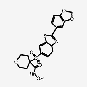 O=C(NO)C1(S(=O)(=O)C2=CCC3N=C(c4ccc5c(c4)OCO5)SC3=C2)CCOCC1